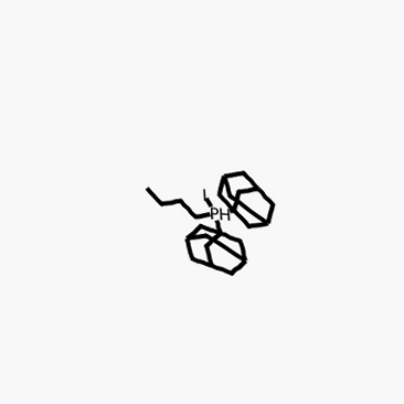 CCCC[PH](I)(C12CC3CC(CC(C3)C1)C2)C12CC3CC(CC(C3)C1)C2